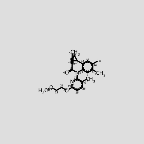 CC#CC(=O)N(c1cc(C)c(I)cc1C1CC1)c1nc(OCCOC)ccc1C